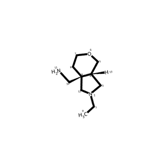 CCN1C[C@H]2COCC[C@@]2(CN)C1